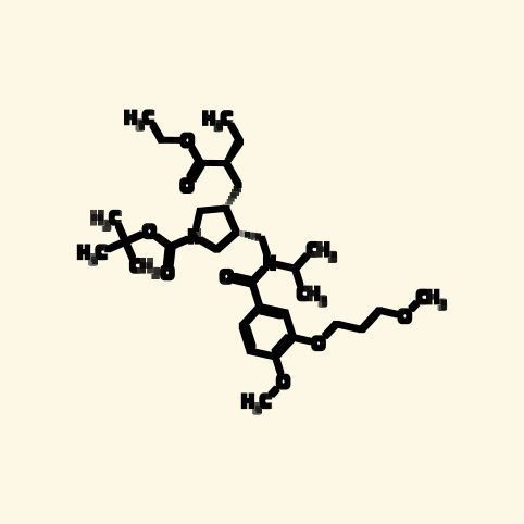 CCOC(=O)[C@@H](CC)C[C@H]1CN(C(=O)OC(C)(C)C)C[C@H]1CN(C(=O)c1ccc(OC)c(OCCCOC)c1)C(C)C